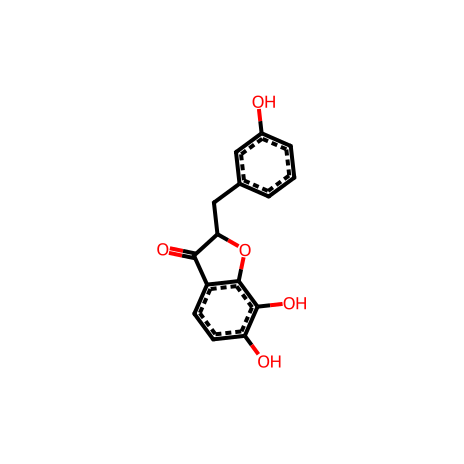 O=C1c2ccc(O)c(O)c2OC1Cc1cccc(O)c1